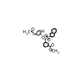 COC(=O)c1cccc(C(OC[C@@H]2C[C@@H](SC(C)=O)CN2)S(=O)(=O)c2ccc3ccccc3c2)c1